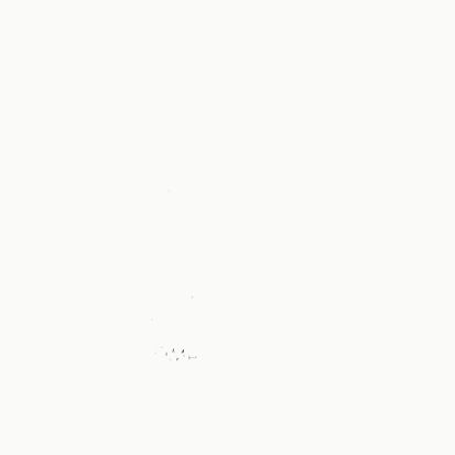 C=C/C(=C\C=C\OC)c1ccccc1